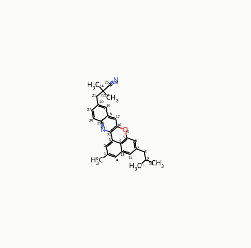 Cc1cc2c3c(cc(CC(C)C)cc3c1)Oc1cc3cc(CC(C)(C)C#N)ccc3nc1-2